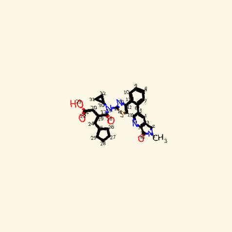 CN1Cc2cc(-c3ccccc3-c3csc(N(C(=O)C(CC(=O)O)CC4CCCC4)C4CC4)n3)cnc2C1=O